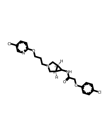 O=C(COc1ccc(Cl)cc1)NC1[C@H]2CN(CCCOc3ccc(Cl)cn3)C[C@@H]12